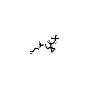 CC(C)(C)OC(=O)C1(COC(=O)OCCl)CC1